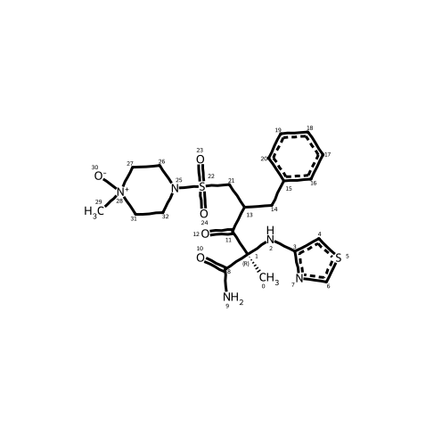 C[C@](Nc1cscn1)(C(N)=O)C(=O)C(Cc1ccccc1)CS(=O)(=O)N1CC[N+](C)([O-])CC1